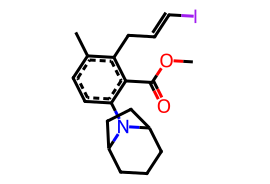 COC(=O)c1c(N2C3CCCC2CC3)ccc(C)c1C/C=C/I